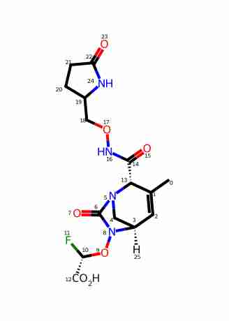 CC1=C[C@@H]2CN(C(=O)N2O[C@@H](F)C(=O)O)[C@@H]1C(=O)NOCC1CCC(=O)N1